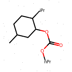 CCCOC(=O)OC1CC(C)CCC1C(C)C